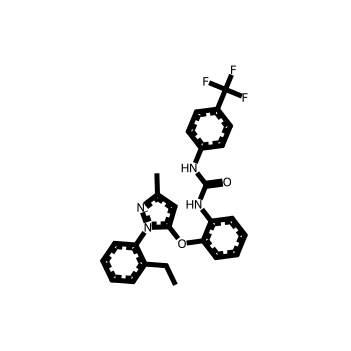 CCc1ccccc1-n1nc(C)cc1Oc1ccccc1NC(=O)Nc1ccc(C(F)(F)F)cc1